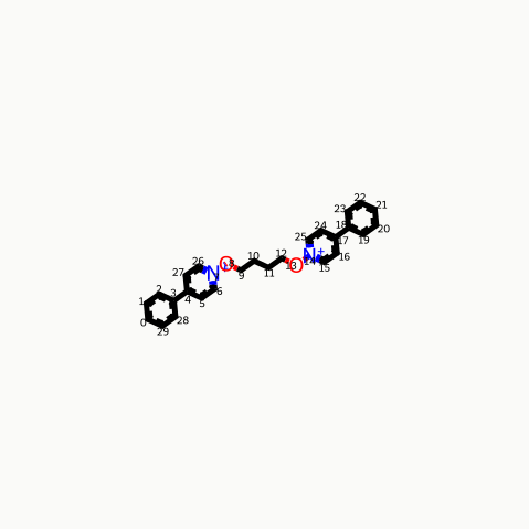 c1ccc(-c2cc[n+](OCCCCO[n+]3ccc(-c4ccccc4)cc3)cc2)cc1